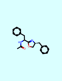 CC(=O)NC(Cc1ccccc1)C1=N[C@@H](Cc2ccccc2)CO1